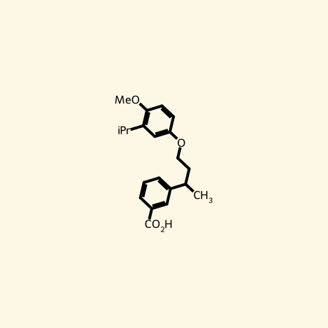 COc1ccc(OCCC(C)c2cccc(C(=O)O)c2)cc1C(C)C